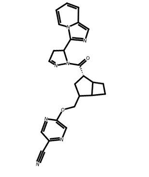 N#Cc1cnc(OCC2C[C@H](C(=O)N3N=CCC3c3ncc4ccccn34)C3CCC23)cn1